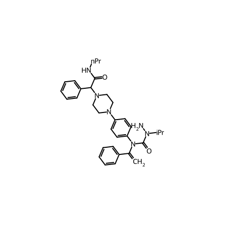 C=C(c1ccccc1)N(C(=O)N(N)C(C)C)c1ccc(N2CCN(C(C(=O)NCCC)c3ccccc3)CC2)cc1